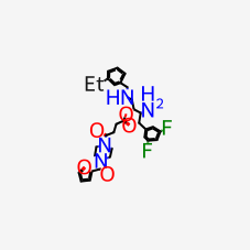 CCc1cccc(CNCC(OC(=O)CCC(=O)N2CCN(C(=O)c3ccco3)CC2)C(N)Cc2cc(F)cc(F)c2)c1